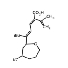 C=C(C)/C(=C\C=C(/C(C)CC)C1CC(CC)CCCO1)C(=O)O